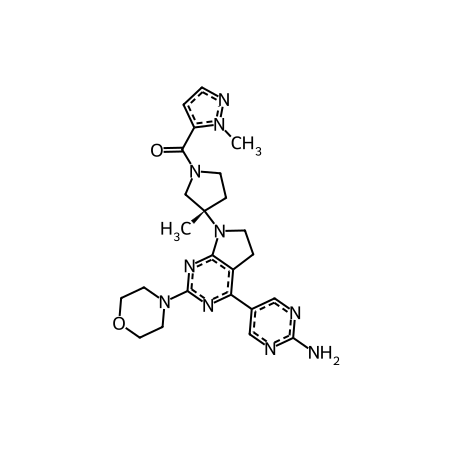 Cn1nccc1C(=O)N1CC[C@](C)(N2CCc3c(-c4cnc(N)nc4)nc(N4CCOCC4)nc32)C1